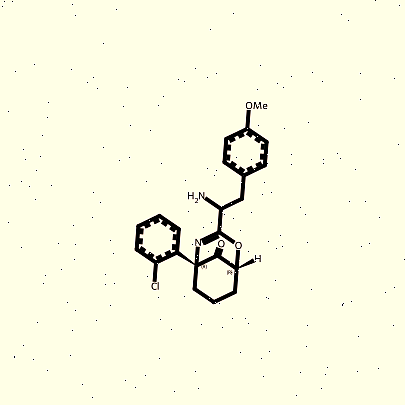 COc1ccc(CC(N)C2=N[C@@]3(c4ccccc4Cl)CCC[C@@H](O2)C3=O)cc1